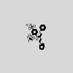 NS(=O)(=O)c1ccc(N[C@H](CCN2CC3CCC2C3)CSc2ccccc2)c(S(=O)(=O)C(F)(F)F)c1